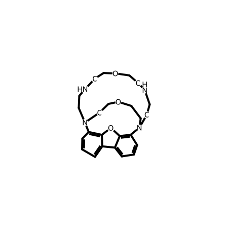 c1cc2c3oc4c(cccc4c3c1)N1CCNCCOCCNCCN2CCOCC1